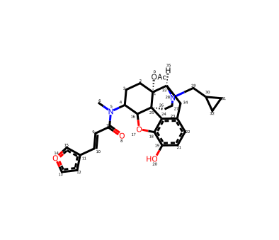 CC(=O)O[C@@]12CCC(N(C)C(=O)/C=C/c3ccoc3)C3Oc4c(O)ccc5c4[C@@]31CCN(CC1CC1)[C@@H]2C5